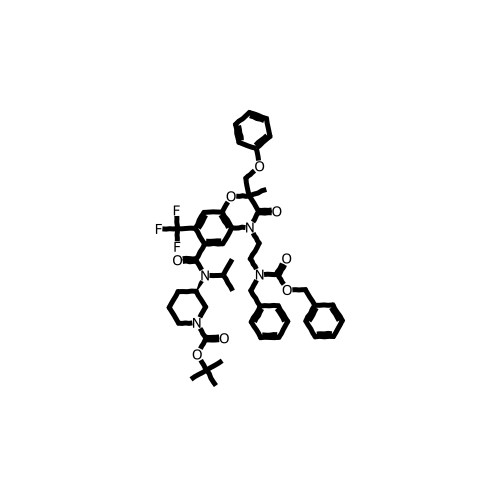 CC(C)N(C(=O)c1cc2c(cc1C(F)(F)F)OC(C)(COc1ccccc1)C(=O)N2CCN(Cc1ccccc1)C(=O)OCc1ccccc1)[C@@H]1CCCN(C(=O)OC(C)(C)C)C1